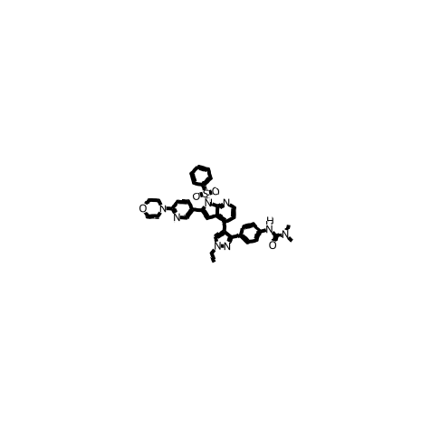 CCn1cc(-c2ccnc3c2cc(-c2ccc(N4CCOCC4)nc2)n3S(=O)(=O)c2ccccc2)c(-c2ccc(NC(=O)N(C)C)cc2)n1